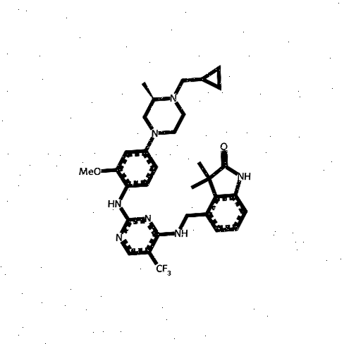 COc1cc(N2CCN(CC3CC3)[C@H](C)C2)ccc1Nc1ncc(C(F)(F)F)c(NCc2cccc3c2C(C)(C)C(=O)N3)n1